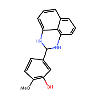 COc1ccc(C2Nc3cccc4cccc(c34)N2)cc1O